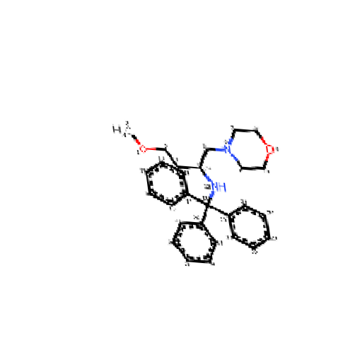 COCC[C@@H](CN1CCOCC1)NC(c1ccccc1)(c1ccccc1)c1ccccc1